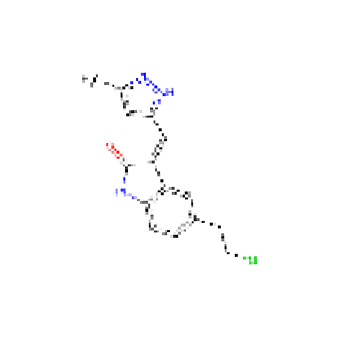 Cc1cc(C=C2C(=O)Nc3ccc(CCCl)cc32)[nH]n1